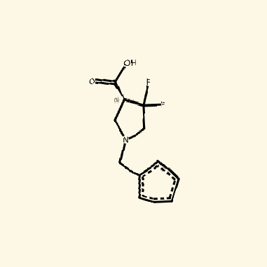 O=C(O)[C@@H]1CN(Cc2ccccc2)CC1(F)F